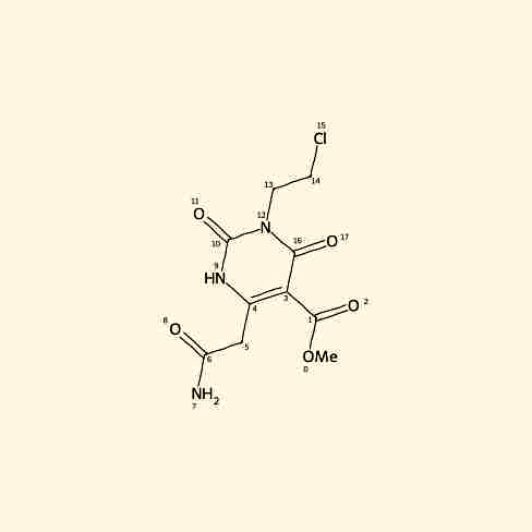 COC(=O)c1c(CC(N)=O)[nH]c(=O)n(CCCl)c1=O